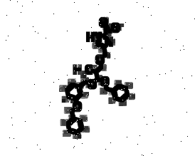 CC(COCc1c[nH]c([N+](=O)[O-])n1)C(OCc1ccccc1)OCc1cccc(OCc2ccccc2)c1